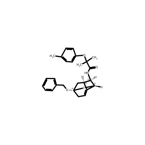 Cc1ccc(OC(C)(C)C(=O)N[C@@H]2[C@@H]3C[C@]4(OCc5ccccc5)CC=C3[C@@H]2C4)cc1